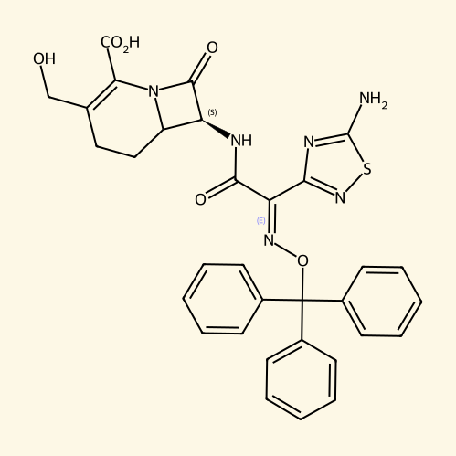 Nc1nc(/C(=N\OC(c2ccccc2)(c2ccccc2)c2ccccc2)C(=O)N[C@@H]2C(=O)N3C(C(=O)O)=C(CO)CCC23)ns1